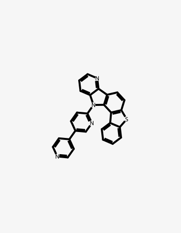 c1ccc2c(c1)sc1ccc3c4ncccc4n(-c4ccc(-c5ccncc5)cn4)c3c12